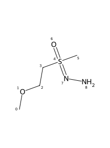 COCCS(C)(=O)=NN